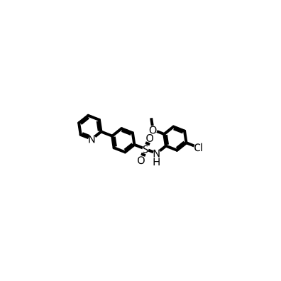 COc1ccc(Cl)cc1NS(=O)(=O)c1ccc(-c2ccccn2)cc1